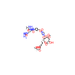 CC[C@H](O)[C@@H](C)[C@H]1O[C@@H]1CC(C)(O)/C=C/C=C(\C)[C@H]1OC(=O)C[C@H](O)CC[C@@](C)(OC(C)=O)[C@@H](OC(=O)N2CCN(C(=O)OCc3ccc(NC(=O)C(CCCNC(N)=O)NC(=O)C(N)C(C)C)cc3)CC2)/C=C/[C@@H]1C